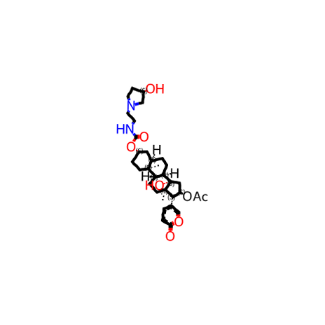 CC(=O)O[C@H]1C[C@]2(O)[C@@H]3CC[C@@H]4C[C@@H](OC(=O)NCCN5CC[C@H](O)C5)CC[C@]4(C)[C@H]3CC[C@]2(C)[C@H]1c1ccc(=O)oc1